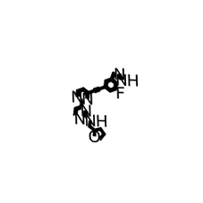 Fc1cc(C#Cc2ccnc(-c3ccnc(NCC4CCCO4)n3)n2)cc2cn[nH]c12